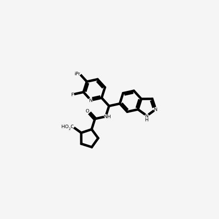 CC(C)c1ccc(C(NC(=O)C2CCCC2C(=O)O)c2ccc3cn[nH]c3c2)nc1F